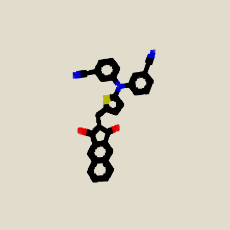 N#Cc1cccc(N(c2cccc(C#N)c2)c2ccc(CC3C(=O)c4cc5ccccc5cc4C3=O)s2)c1